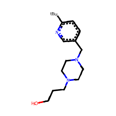 CC(C)(C)c1ccc(CN2CCN(CCCO)CC2)cn1